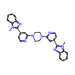 Cn1c(-c2ccnc(N3CCN(c4cc(-c5nc6ccccc6n5C)ccn4)CC3)c2)nc2ccccc21